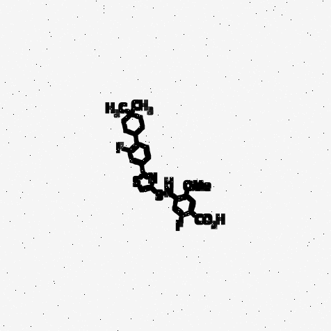 COc1cc(C(=O)O)c(F)cc1NSc1csc(-c2ccc(C3CCC(C)(C)CC3)c(F)c2)n1